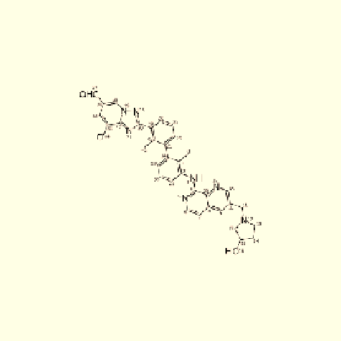 Cc1c(Nc2nccc3cc(CN4CCC(O)C4)cnc23)cccc1-c1cccc(-c2nc3c(Cl)cc(C=O)cn3n2)c1C